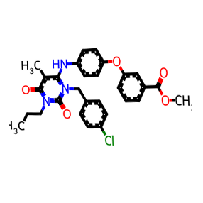 CCCn1c(=O)c(C)c(Nc2ccc(Oc3cccc(C(=O)OC)c3)cc2)n(Cc2ccc(Cl)cc2)c1=O